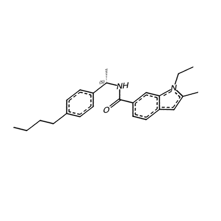 CCCCc1ccc([C@H](C)NC(=O)c2ccc3cc(C)n(CC)c3c2)cc1